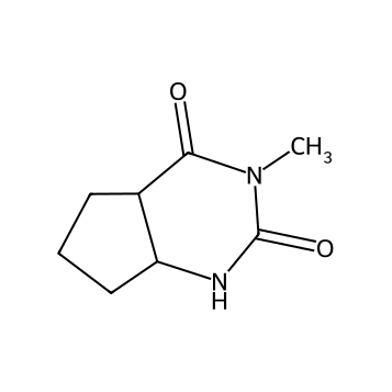 CN1C(=O)NC2CCCC2C1=O